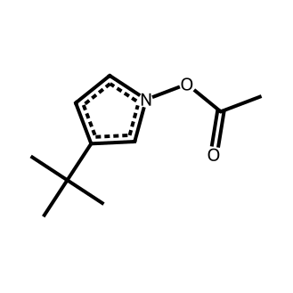 CC(=O)On1ccc(C(C)(C)C)c1